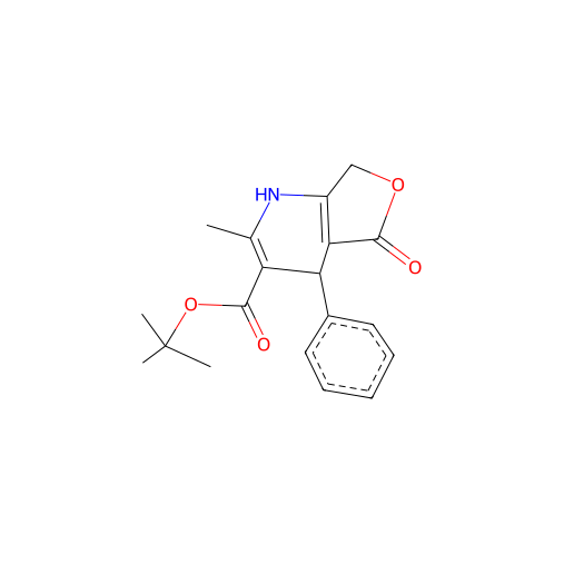 CC1=C(C(=O)OC(C)(C)C)C(c2ccccc2)C2=C(COC2=O)N1